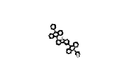 c1ccc(-c2c3ccccc3c(-c3cccc4c3sc3ccc(-c5c6ccccc6c(-c6ccoc6)c6ccccc56)cc34)c3ccccc23)cc1